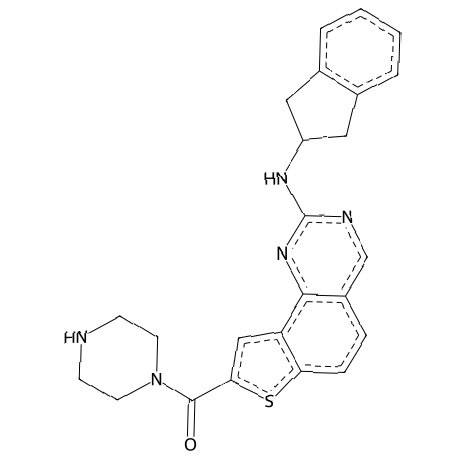 O=C(c1cc2c(ccc3cnc(NC4Cc5ccccc5C4)nc32)s1)N1CCNCC1